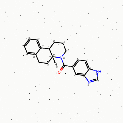 O=C(c1ccc2[nH]cnc2c1)N1CCCC2c3ccccc3CC[C@H]21